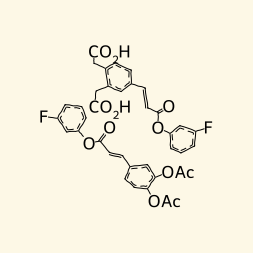 CC(=O)Oc1ccc(/C=C/C(=O)Oc2cccc(F)c2)cc1OC(C)=O.O=C(O)Cc1ccc(/C=C/C(=O)Oc2cccc(F)c2)cc1CC(=O)O